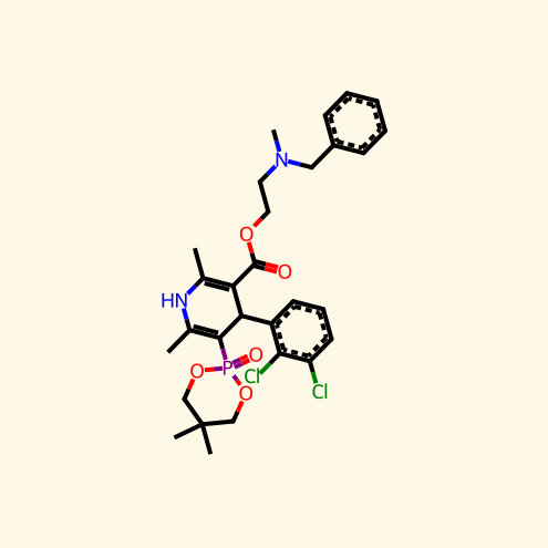 CC1=C(C(=O)OCCN(C)Cc2ccccc2)C(c2cccc(Cl)c2Cl)C(P2(=O)OCC(C)(C)CO2)=C(C)N1